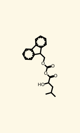 CC(C)CC(O)C(=O)OC(=O)OCC1c2ccccc2-c2ccccc21